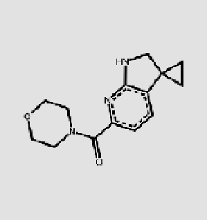 O=C(c1ccc2c(n1)NCC21CC1)N1CCOCC1